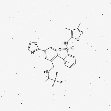 Cc1noc(NS(=O)(=O)c2ccccc2-c2ccc(-c3ncco3)cc2CNC(C)C(F)(F)F)c1C